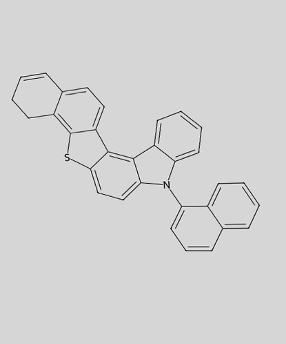 C1=Cc2ccc3c(sc4ccc5c(c6ccccc6n5-c5cccc6ccccc56)c43)c2CC1